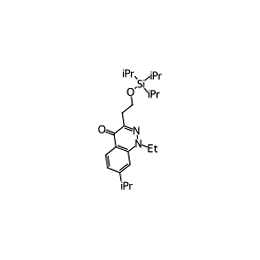 CCn1nc(CCO[Si](C(C)C)(C(C)C)C(C)C)c(=O)c2ccc(C(C)C)cc21